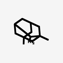 CC12CC3CC(C1)C(P)C(C)(C3)C2